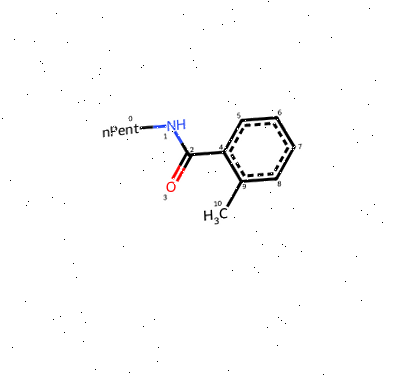 CCCCCNC(=O)c1ccccc1C